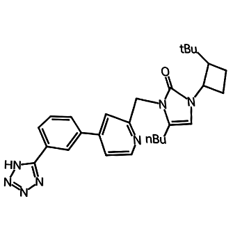 CCCCc1cn(C2CCC2C(C)(C)C)c(=O)n1Cc1cc(-c2cccc(-c3nnn[nH]3)c2)ccn1